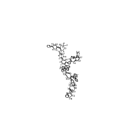 CC1(C)CCC(CN2CCN(c3ccc(C(=O)NS(=O)(=O)c4ccc(OCC5(F)CCN(C6CCOC6)CC5)c([N+](=O)[O-])c4)c(Oc4cnc5[nH]ccc5c4)c3)CC2)=C(c2ccc(Cl)cc2)C1